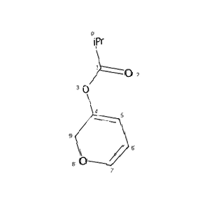 CC(C)C(=O)OC1=CC=COC1